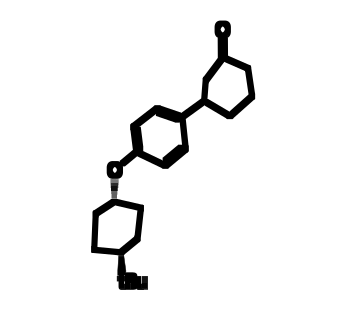 CC(C)(C)[C@H]1CC[C@H](Oc2ccc(C3CCCC(=O)C3)cc2)CC1